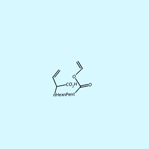 C=CC(CCCCCC)C(=O)O.C=COC(=O)CCCCC